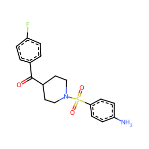 Nc1ccc(S(=O)(=O)N2CCC(C(=O)c3ccc(F)cc3)CC2)cc1